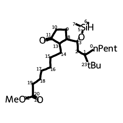 CCCCCC(CC(O[SiH](C)C)C1CCC(=O)C1CCCCCCC(=O)OC)C(C)(C)C